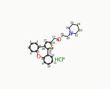 Cl.c1ccc2c(c1)Oc1ccccc1-c1sc(COCCN3CCCCC3)cc1-2